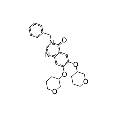 O=c1c2cc(OC3CCCOC3)c(OC3CCCOC3)cc2ncn1Cc1ccccc1